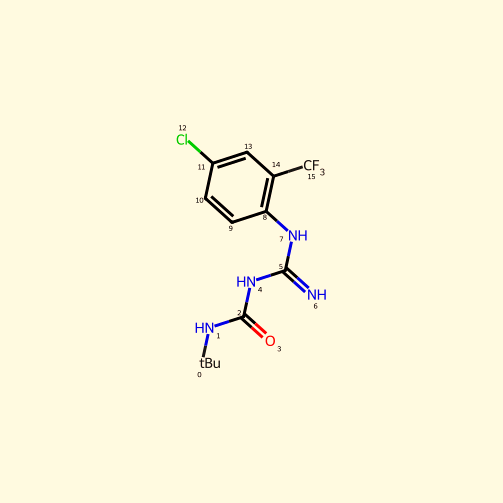 CC(C)(C)NC(=O)NC(=N)Nc1ccc(Cl)cc1C(F)(F)F